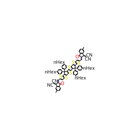 CCCCCCc1ccc(C2(c3ccc(CCCCCC)cc3)c3c(sc4cc(/C=C5\C(=O)c6ccc(C)cc6C5=C(C#N)C#N)sc34)-c3sc4c5c(sc4c32)-c2sc3cc(/C=C4\C(=O)c6ccc(C)cc6C4=C(C#N)C#N)sc3c2C5(c2ccc(CCCCCC)cc2)c2ccc(CCCCCC)cc2)cc1